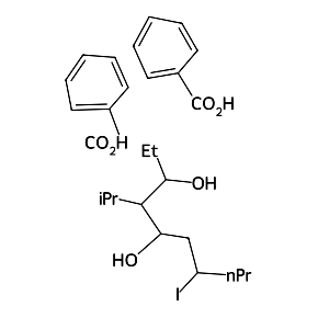 CCCC(I)CC(O)C(C(C)C)C(O)CC.O=C(O)c1ccccc1.O=C(O)c1ccccc1